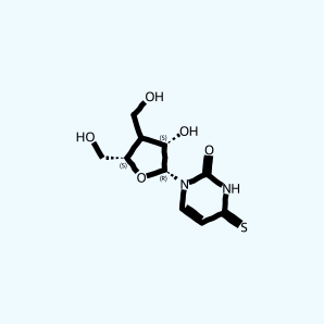 O=c1[nH]c(=S)ccn1[C@@H]1O[C@H](CO)C(CO)[C@@H]1O